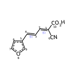 N#C/C(=C\C=C\c1ccoc1)C(=O)O